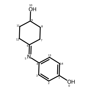 Oc1ccc(N=C2CCC(O)CC2)cc1